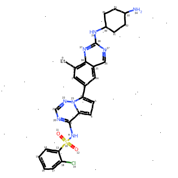 CCc1cc(-c2ccc3c(NS(=O)(=O)c4ccccc4Cl)ncnn23)cc2cnc(NC3CCC(N)CC3)nc12